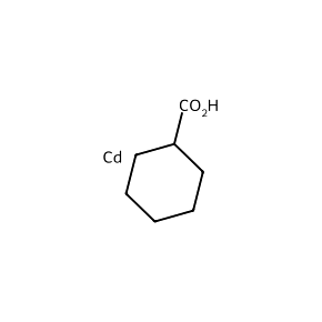 O=C(O)C1CCCCC1.[Cd]